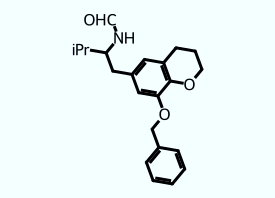 CC(C)C(Cc1cc2c(c(OCc3ccccc3)c1)OCCC2)NC=O